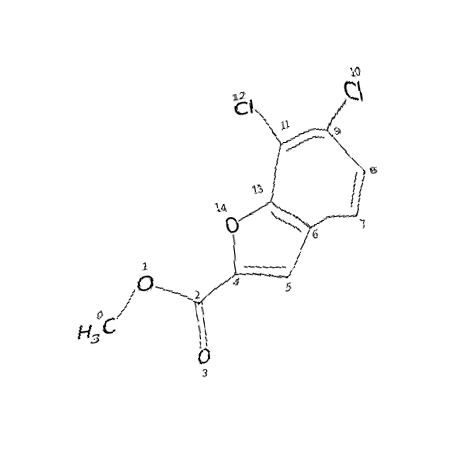 COC(=O)c1cc2ccc(Cl)c(Cl)c2o1